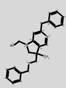 C[C](C)CN1CC(C)(COCc2ccccc2)c2cnc(Cc3ccccc3)cc21